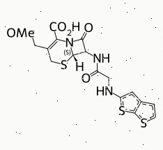 COCC1=C(C(=O)O)N2C(=O)C(NC(=O)CNc3cc4ccsc4s3)[C@@H]2SC1